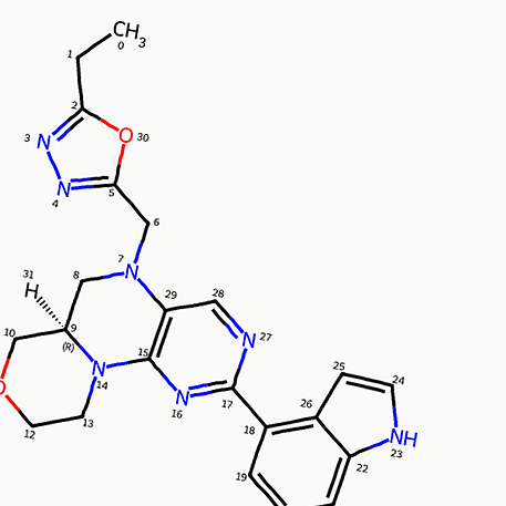 CCc1nnc(CN2C[C@@H]3COCCN3c3nc(-c4cccc5[nH]ccc45)ncc32)o1